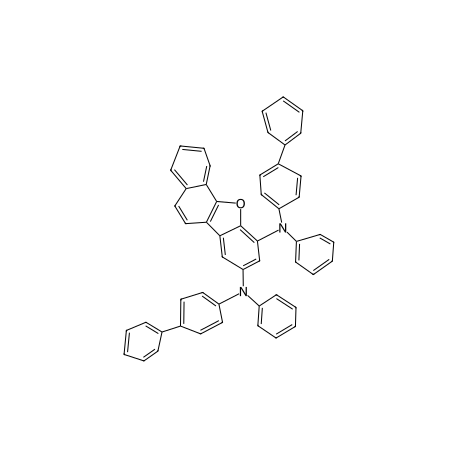 c1ccc(-c2ccc(N(c3ccccc3)c3cc(N(c4ccccc4)c4ccc(-c5ccccc5)cc4)c4oc5c6ccccc6ccc5c4c3)cc2)cc1